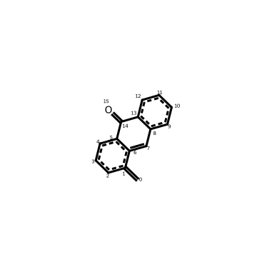 C=c1cccc2c1=Cc1ccccc1C2=O